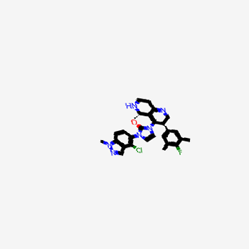 Cc1cc([C@@H]2CN=C3CCN[C@@H](C)C3=C2n2ccn(-c3ccc4c(cnn4C)c3Cl)c2=O)cc(C)c1F